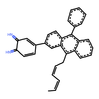 C/C=C\C=C/Cc1c2ccccc2c(-c2ccccc2)c2ccc(C3=CC(=N)C(=N)C=C3)cc12